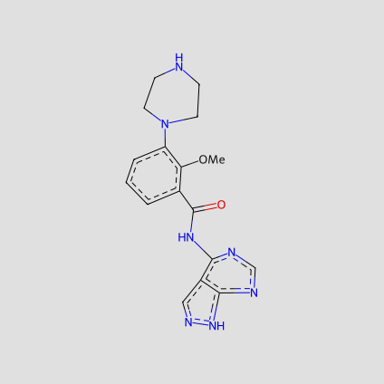 COc1c(C(=O)Nc2ncnc3[nH]ncc23)cccc1N1CCNCC1